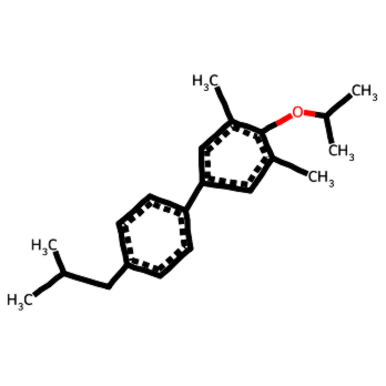 Cc1cc(-c2ccc(CC(C)C)cc2)cc(C)c1OC(C)C